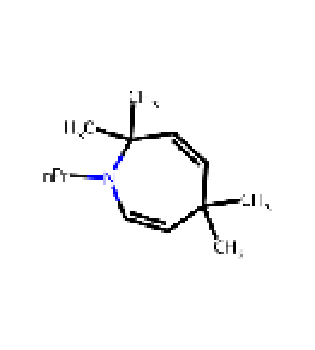 CCCN1C=CC(C)(C)C=CC1(C)C